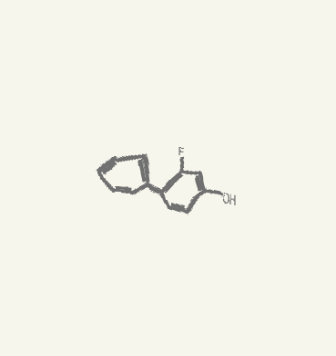 Oc1ccc(-c2ccccc2)c(F)c1